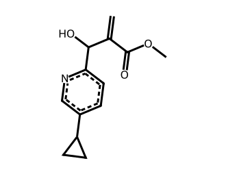 C=C(C(=O)OC)C(O)c1ccc(C2CC2)cn1